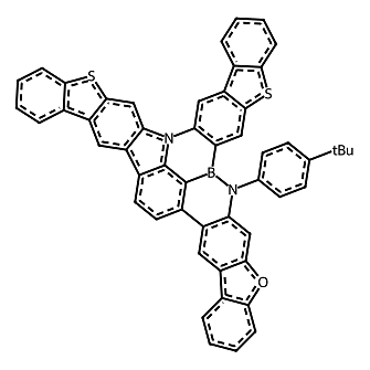 CC(C)(C)c1ccc(N2B3c4cc5sc6ccccc6c5cc4-n4c5cc6sc7ccccc7c6cc5c5ccc(c3c54)-c3cc4c(cc32)oc2ccccc24)cc1